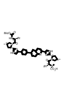 COC(=O)N[C@H](C(=O)N1C[C@@H](C)C[C@H]1c1nc(-c2ccc(-c3ccc4nc(-c5c[nH]c([C@@H]6C[C@H](C)CN6C(=O)[C@H](C(C)C)N(C)C(=O)O)n5)ccc4c3)cc2)c[nH]1)C(C)C